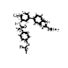 CC(=O)Nc1nc2ccc(-c3cnc(Cl)c(NS(=O)(=O)c4ccc(OC(F)F)cc4)c3)cc2s1